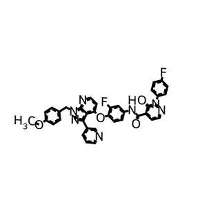 COc1ccc(Cn2nc(-c3cccnc3)c3c(Oc4ccc(NC(=O)c5ccnn(-c6ccc(F)cc6)c5=O)cc4F)ccnc32)cc1